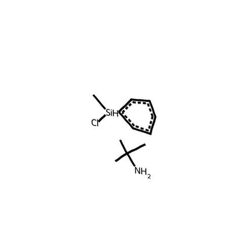 CC(C)(C)N.C[SiH](Cl)c1ccccc1